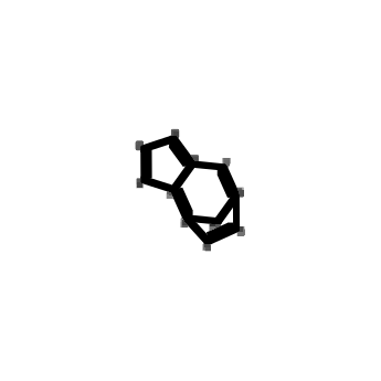 C1=CC2=C3C=CC(=CC2=C1)C3